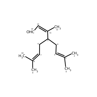 CC(C)=CCC(CC=C(C)C)C(C)=CC=O